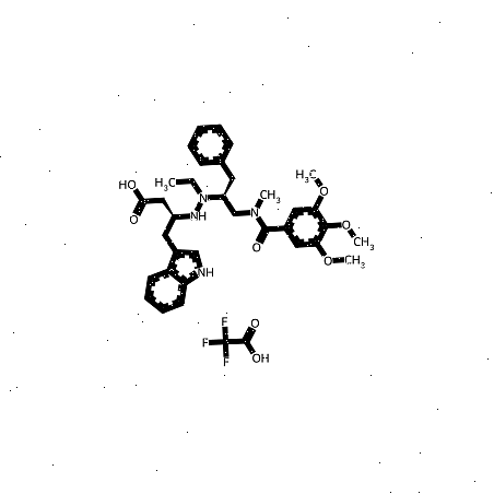 CCN(N[C@H](CC(=O)O)Cc1c[nH]c2ccccc12)[C@@H](Cc1ccccc1)CN(C)C(=O)c1cc(OC)c(OC)c(OC)c1.O=C(O)C(F)(F)F